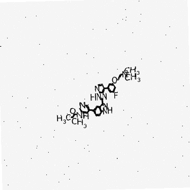 CC(C)C(=O)Nc1cncc(-c2ccc3[nH]nc(-c4nc5c(-c6cc(F)cc(OCCN(C)C)c6)ccnc5[nH]4)c3c2)c1